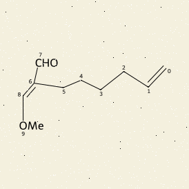 C=CCCCC/C(C=O)=C\OC